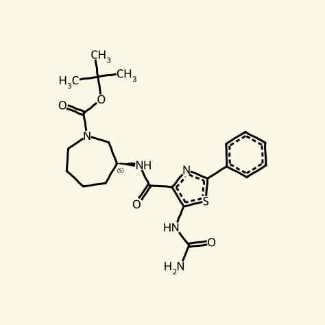 CC(C)(C)OC(=O)N1CCCC[C@H](NC(=O)c2nc(-c3ccccc3)sc2NC(N)=O)C1